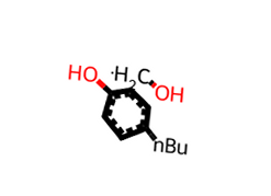 CCCCc1ccc(O)cc1.[CH2]O